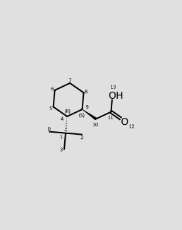 CC(C)(C)[C@@H]1CCCC[C@H]1CC(=O)O